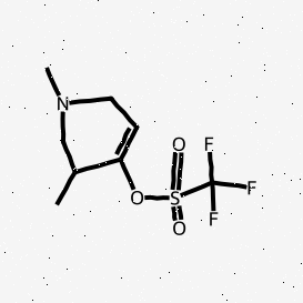 CC1CN(C)CC=C1OS(=O)(=O)C(F)(F)F